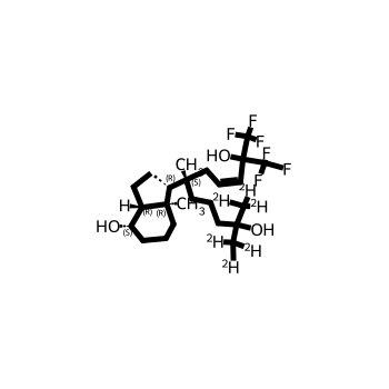 [2H]C([2H])([2H])C(O)(CCC[C@@](C)(CC=CC(O)(C(F)(F)F)C(F)(F)F)[C@H]1CC[C@H]2[C@@H](O)CCC[C@]12C)C([2H])([2H])[2H]